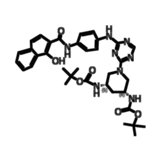 CC(C)(C)OC(=O)N[C@@H]1C[C@H](NC(=O)OC(C)(C)C)CN(c2ncnc(Nc3ccc(NC(=O)c4ccc5ccccc5c4O)cc3)n2)C1